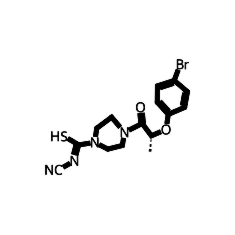 C[C@@H](Oc1ccc(Br)cc1)C(=O)N1CCN(/C(S)=N/C#N)CC1